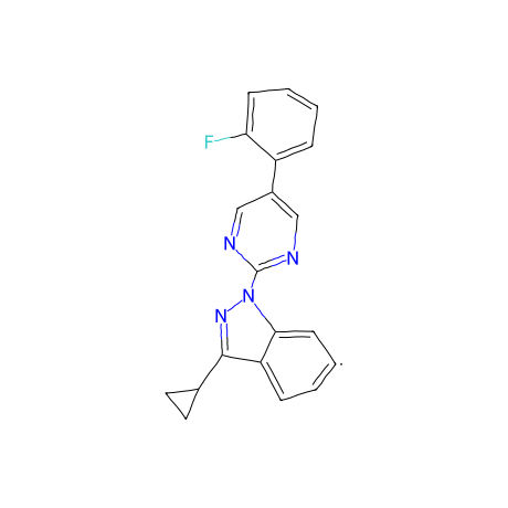 Fc1ccccc1-c1cnc(-n2nc(C3CC3)c3cc[c]cc32)nc1